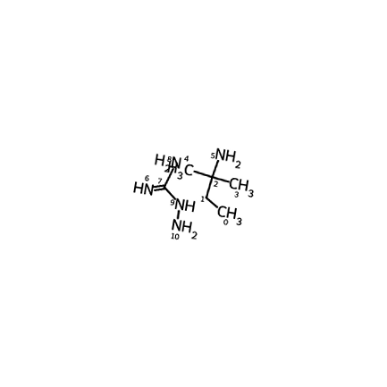 CCC(C)(C)N.N=C(N)NN